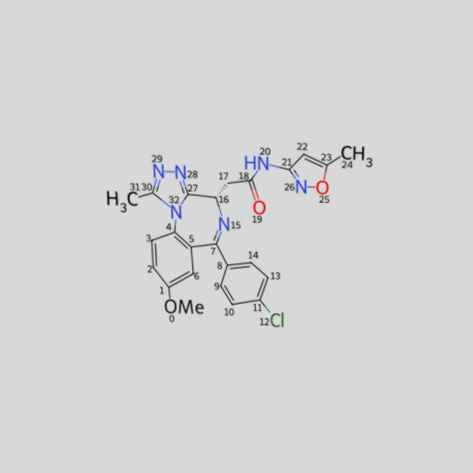 COc1ccc2c(c1)C(c1ccc(Cl)cc1)=N[C@@H](CC(=O)Nc1cc(C)on1)c1nnc(C)n1-2